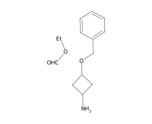 CCOC=O.NC1CC(OCc2ccccc2)C1